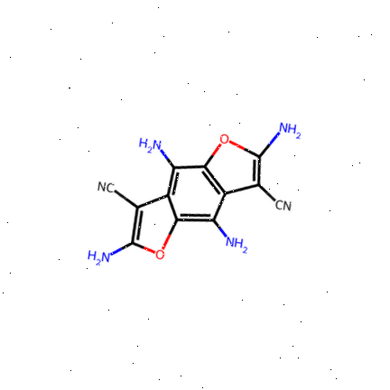 N#Cc1c(N)oc2c(N)c3c(C#N)c(N)oc3c(N)c12